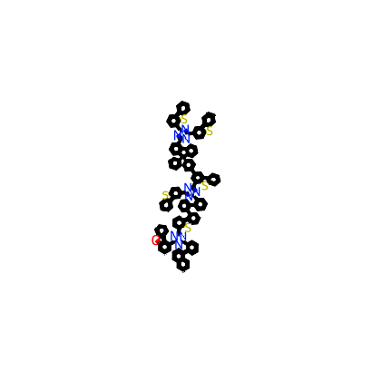 c1ccc(C2(c3ccc(-c4cc(-c5nc(-c6ccc7sc8ccccc8c7c6)nc(-c6ccccc6-c6ccccc6-c6cccc7sc8c(-c9nc(-c%10ccccc%10-c%10cccc%11ccccc%10%11)nc(-c%10cccc%11oc%12ccccc%12c%10%11)n9)cccc8c67)n5)c5sc6ccccc6c5c4)cc3)c3ccccc3-c3c(-c4nc(-c5ccc6sc7ccccc7c6c5)nc(-c5cccc6c5sc5ccccc56)n4)cccc32)cc1